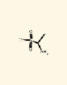 [CH2]C(N)S(=O)(=O)CC